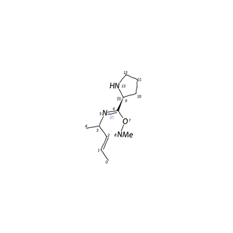 CC=CC(C)/N=C(\ONC)[C@@H]1CCCN1